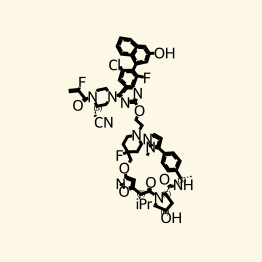 C=C(F)C(=O)N1CCN(c2nc(OCCN3CCC(F)(COc4cc([C@H](C(=O)N5C[C@H](O)C[C@H]5C(=O)N[C@@H](C)c5ccc(-c6ccnn6C)cc5)C(C)C)on4)CC3)nc3c(F)c(-c4cc(O)cc5ccccc45)c(Cl)cc23)C[C@@H]1CC#N